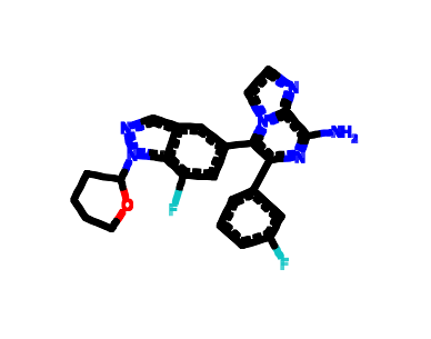 Nc1nc(-c2cccc(F)c2)c(-c2cc(F)c3c(cnn3C3CCCCO3)c2)n2ccnc12